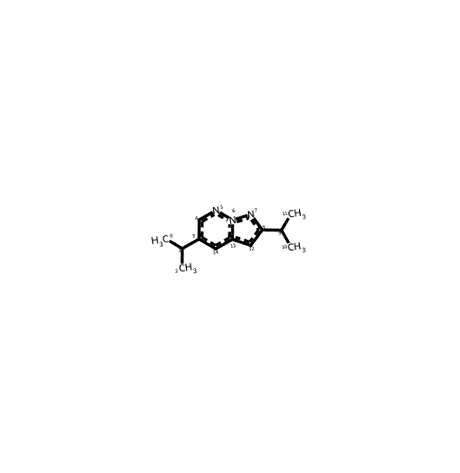 CC(C)c1cnn2nc(C(C)C)cc2c1